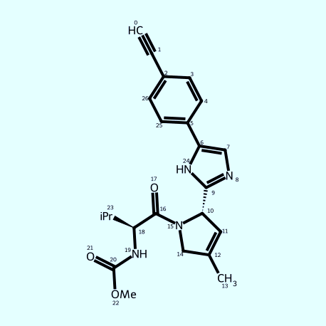 C#Cc1ccc(-c2cnc([C@@H]3C=C(C)CN3C(=O)[C@@H](NC(=O)OC)C(C)C)[nH]2)cc1